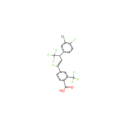 O=C(O)c1ccc(C(F)=CC(c2ccc(F)c(Cl)c2)C(F)(F)F)cc1C(F)(F)F